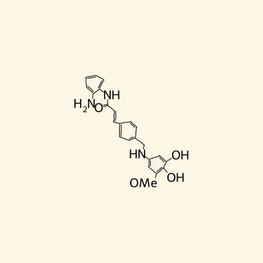 COc1cc(NCc2ccc(/C=C/C(=O)Nc3ccccc3N)cc2)cc(O)c1O